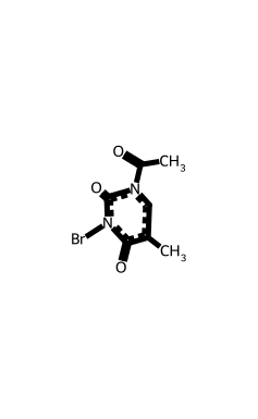 CC(=O)n1cc(C)c(=O)n(Br)c1=O